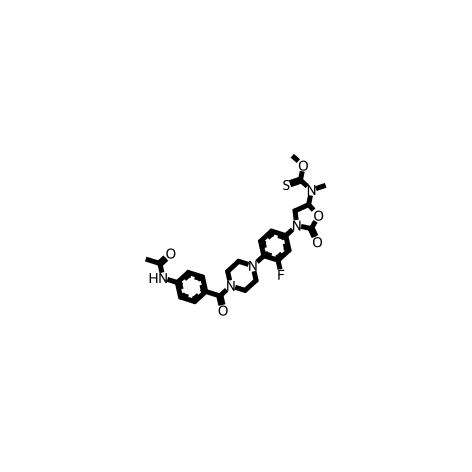 COC(=S)N(C)C1CN(c2ccc(N3CCN(C(=O)c4ccc(NC(C)=O)cc4)CC3)c(F)c2)C(=O)O1